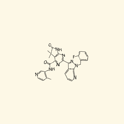 Cc1ccncc1NC(=O)c1nc(-c2nn(Cc3ccccc3F)c3ncccc23)nc2c1C(C)(C)C(=O)N2